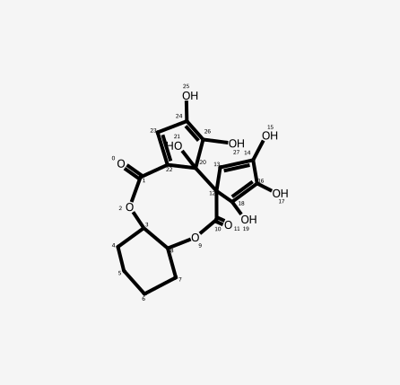 O=C1OC2CCCCC2OC(=O)C2(C=C(O)C(O)=C2O)C2(O)C1=CC(O)=C2O